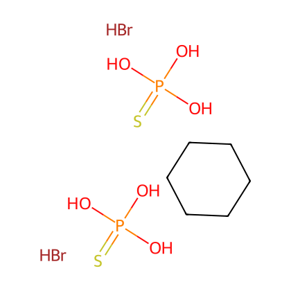 Br.Br.C1CCCCC1.OP(O)(O)=S.OP(O)(O)=S